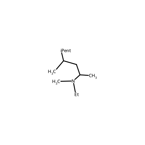 CCCC(C)C(C)CC(C)N(C)CC